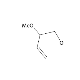 C=CC(C[O])OC